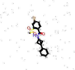 CS(=O)(=O)c1cc(Br)ccc1C(=O)NC12CC(c3ccccc3)(C1)C2